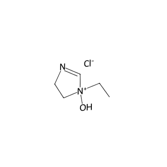 CC[N+]1(O)C=NCC1.[Cl-]